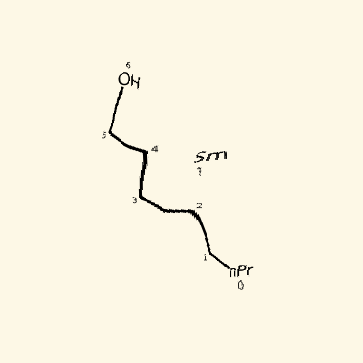 CCCCCCCCO.[Sm]